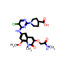 CNC(=O)COc1cc2cc(NC3N=C(N4CCC(C(=O)O)CC4)N=CC3Cl)cc(OC)c2n(C)c1=O